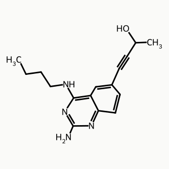 CCCCNc1nc(N)nc2ccc(C#CC(C)O)cc12